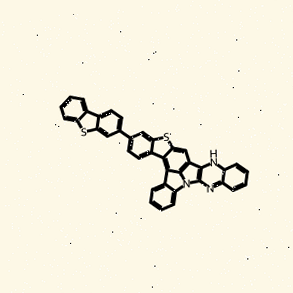 C1=CC2=Nc3c(c4cc5sc6cc(-c7ccc8c(c7)sc7ccccc78)ccc6c5c5c6ccccc6n3c45)NC2C=C1